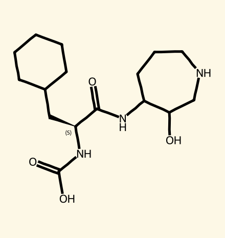 O=C(O)N[C@@H](CC1CCCCC1)C(=O)NC1CCCNCC1O